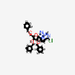 N#C[C@@]1(c2ccc3c(Cl)ncnn23)O[C@H](COCc2ccccc2)[C@@H](OCc2ccccc2)[C@H]1OCc1ccccc1